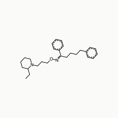 CCC1CCCCN1CCCON=C(CCCCc1ccccc1)c1ccccc1